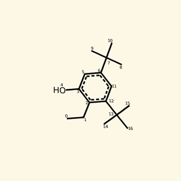 CCc1c(O)cc(C(C)(C)C)cc1C(C)(C)C